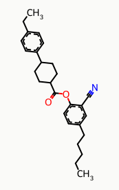 CCCCCc1ccc(OC(=O)C2CCC(c3ccc(CC)cc3)CC2)c(C#N)c1